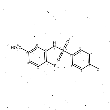 Cc1ccc(S(=O)(=O)Nc2cc(C(=O)O)ccc2F)cc1